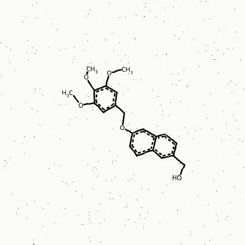 COc1cc(COc2ccc3cc(CO)ccc3c2)cc(OC)c1OC